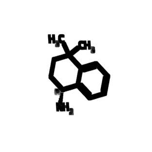 CC1(C)CC[C@@H](N)c2ccccc21